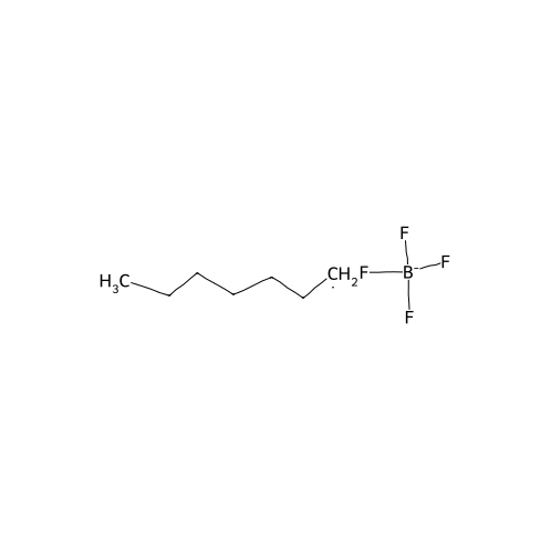 F[B-](F)(F)F.[CH2]CCCCCC